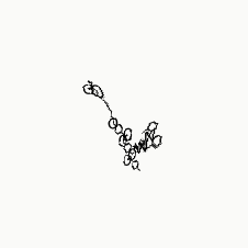 C=CC(=O)OCCCCCCOc1ccc(C(=O)Oc2ccc(OC(=O)c3ccc(C)cc3)c(/C=N/N(Cc3ccccc3)/C(C)=N/c3ccccc3C)c2)cc1